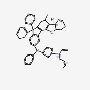 C=C/C(=C\C=C/C)c1ccc(N(c2ccccc2)c2ccc3c(c2)C2=C(CC(C)C4=C2OC2CCC=C[C@H]42)C3(C2=CC=CCC2)c2ccccc2)cc1